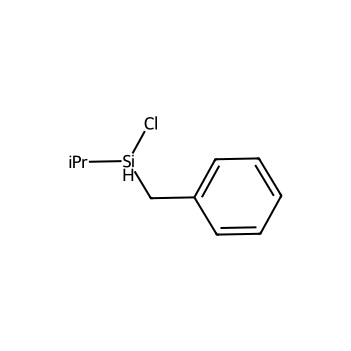 CC(C)[SiH](Cl)Cc1ccccc1